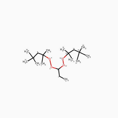 CCC(OOC(C)(C)CC(C)(C)C)OOC(C)(C)CC(C)(C)C